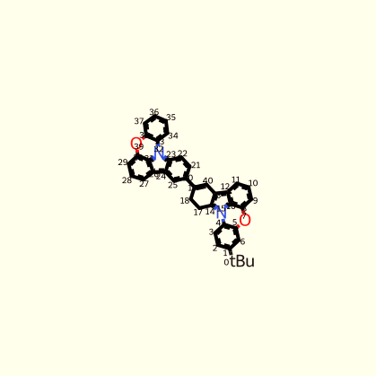 CC(C)(C)c1ccc2c(c1)Oc1cccc3c4c(n-2c13)CCC(c1ccc2c(c1)c1cccc3c1n2-c1ccccc1O3)=C4